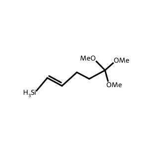 COC(CCC=C[SiH3])(OC)OC